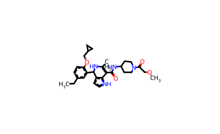 CCc1ccc(OCC2CC2)c(C2NC(C)=C(C(=O)NC3CCN(C(=O)COC)CC3)c3[nH]ccc32)c1